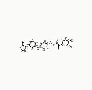 Cc1cc(NC(=O)CCc2ccc(Oc3ccnc(C4=NCCN4)c3)cc2)ccc1Cl